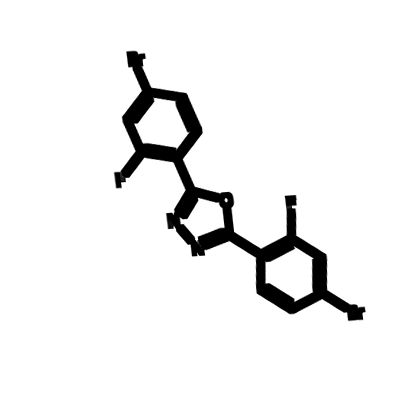 Fc1cc(Br)ccc1-c1nnc(-c2ccc(Br)cc2F)o1